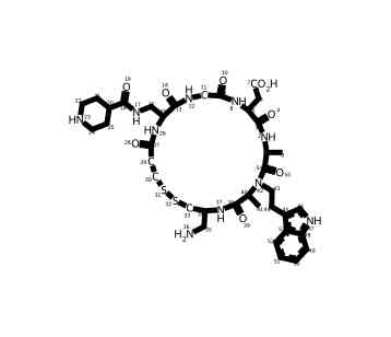 CC1NC(=O)C(CC(=O)O)NC(=O)CNC(=O)C(CNC(=O)C2CCNCC2)NC(=O)CCSSCC(CN)NC(=O)C(C)N(CCc2c[nH]c3ccccc23)C1=O